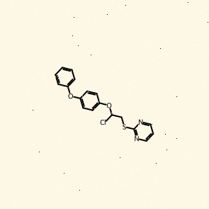 ClC(CSc1ncccn1)Oc1ccc(Oc2ccccc2)cc1